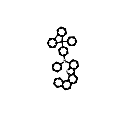 c1ccc(N(c2ccc(C3(c4ccccc4)c4ccccc4-c4ccccc43)cc2)c2cccc3c2sc2c3ccc3ccc4ccccc4c32)cc1